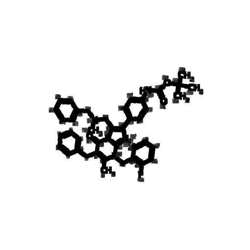 Cc1c(Cc2ccccc2)c(=O)n2c(CN(C)Cc3ccccc3)c(-c3ccc(NC(=O)OC(C)(C)C)cc3)nc2n1Cc1c(F)cccc1F